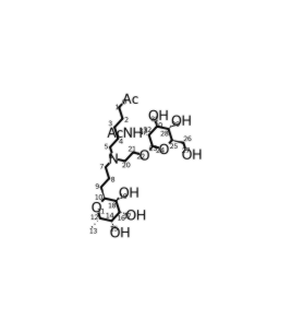 CC(=O)CCCCCN(CCC[C@@H]1O[C@@H](C)[C@@H](O)[C@@H](O)[C@@H]1O)CCO[C@@H]1O[C@H](CO)[C@@H](O)[C@H](O)[C@H]1NC(C)=O